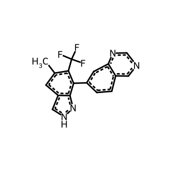 Cc1cc2c[nH]nc2c(-c2ccc3cncnc3c2)c1C(F)(F)F